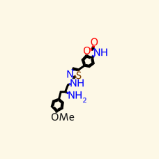 COc1ccc(CC(N)CNc2ncc(-c3ccc4[nH]c(=O)oc4c3)s2)cc1